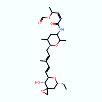 CC[C@@H]1CC2(CO2)[C@H](O)C(/C=C/C(C)=C/C[C@@H]2OC(C)C(NC(=O)/C=C\C(C)OC=O)CC2C)O1